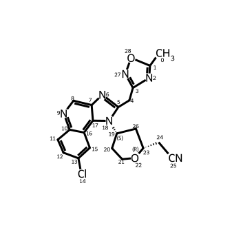 Cc1nc(Cc2nc3cnc4ccc(Cl)cc4c3n2[C@H]2CCO[C@@H](CC#N)C2)no1